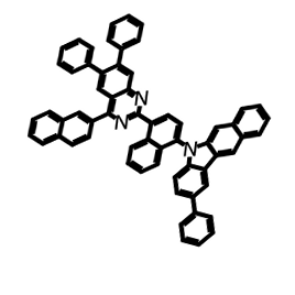 c1ccc(-c2ccc3c(c2)c2cc4ccccc4cc2n3-c2ccc(-c3nc(-c4ccc5ccccc5c4)c4cc(-c5ccccc5)c(-c5ccccc5)cc4n3)c3ccccc23)cc1